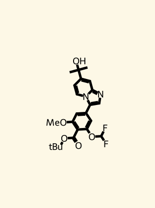 COc1cc(-c2cnc3cc(C(C)(C)O)ccn23)cc(OC(F)F)c1C(=O)OC(C)(C)C